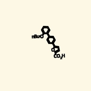 CCCCOc1ccccc1-c1ccc(-c2ccc(C(=O)O)o2)cc1